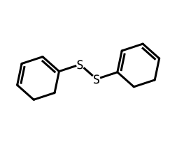 C1=CCCC(SSC2=CC=CCC2)=C1